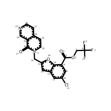 O=C(OCC(F)(F)F)c1cc(Cl)cc2cc(Cn3ccc4ccncc4c3=O)oc12